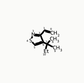 C=Cc1nscc1C(C)(C)CC